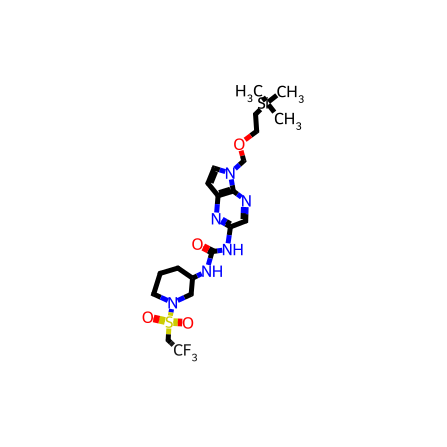 C[Si](C)(C)CCOCn1ccc2nc(NC(=O)NC3CCCN(S(=O)(=O)CC(F)(F)F)C3)cnc21